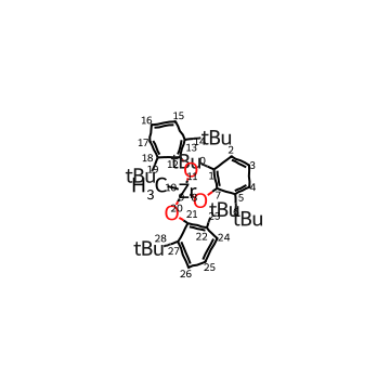 CC(C)(C)c1cccc(C(C)(C)C)c1[O][Zr]([CH3])([O]c1c(C(C)(C)C)cccc1C(C)(C)C)[O]c1c(C(C)(C)C)cccc1C(C)(C)C